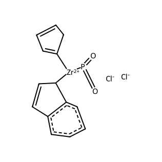 O=[P](=O)[Zr+2]([C]1=CC=CC1)[CH]1C=Cc2ccccc21.[Cl-].[Cl-]